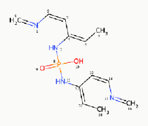 C=N/C=C\C(=C/C)NP(=O)(O)NC(/C=C\N=C)=C/C